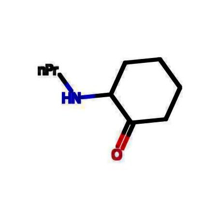 CCCNC1CCCCC1=O